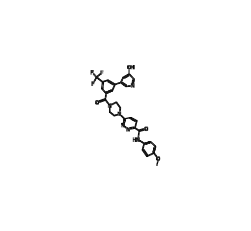 COc1ccc(NC(=O)c2ccc(N3CCN(C(=O)c4cc(-c5cncc(O)c5)cc(C(F)(F)F)c4)CC3)nn2)cc1